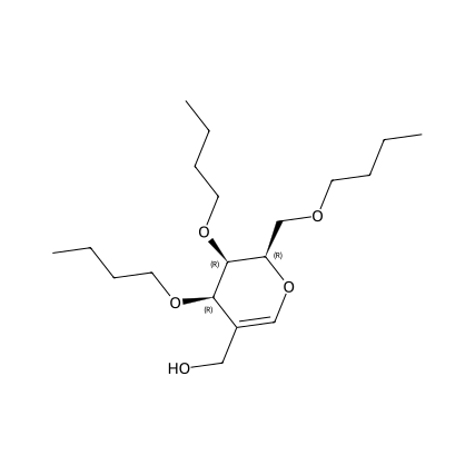 CCCCOC[C@H]1OC=C(CO)[C@@H](OCCCC)[C@H]1OCCCC